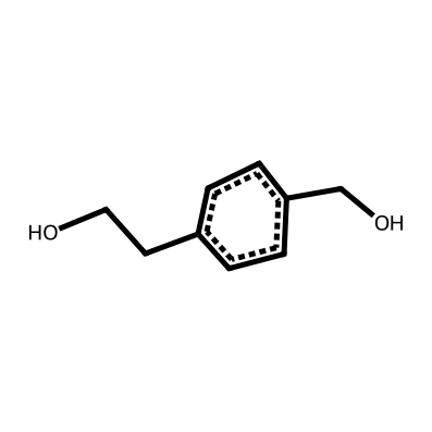 OCCc1ccc(CO)cc1